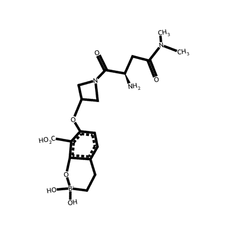 CN(C)C(=O)C[C@@H](N)C(=O)N1CC(Oc2ccc3c(c2C(=O)O)O[B-](O)(O)CC3)C1